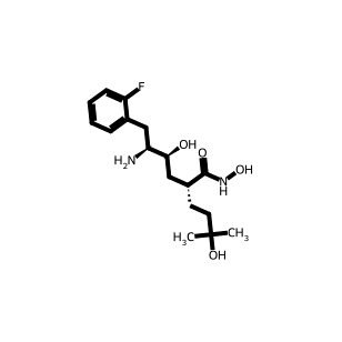 CC(C)(O)CC[C@H](C[C@H](O)[C@@H](N)Cc1ccccc1F)C(=O)NO